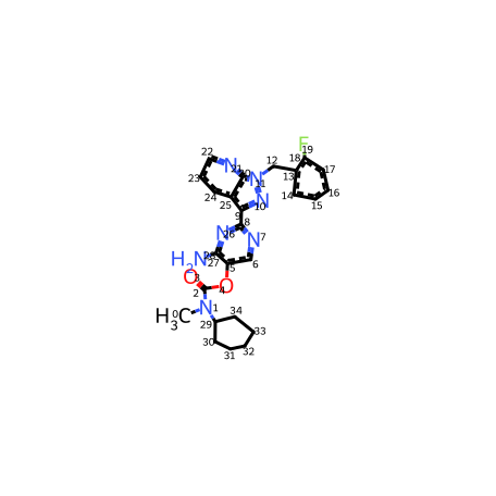 CN(C(=O)Oc1cnc(-c2nn(Cc3ccccc3F)c3ncccc23)nc1N)C1CCCCC1